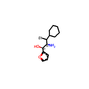 CCC(C1CCCCC1)[C@@H](N)[C@H](O)c1ccco1